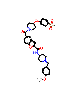 CS(=O)(=O)c1ccc(OC2CCN(C(=O)c3ccc4oc(C(=O)NC5CCN(Cc6ccc(OC(F)(F)F)cc6)CC5)cc4c3)CC2)cc1